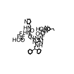 CCc1cnn([C@H]2C[C@@H](n3cnc4c(NCC(c5ccccc5)c5ccccc5)nc(N5CC[C@@H](NC(=O)NCc6cccnc6)C5)nc43)[C@H](O)[C@@H]2O)c1.O=C(O)C(F)(F)F